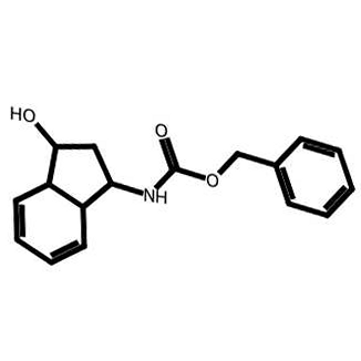 O=C(NC1CC(O)C2C=CC=CC12)OCc1ccccc1